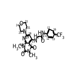 Cn1c(=O)c2c(NCC(=O)Nc3ccc(C(F)(F)F)cc3)cc(N3CCOCC3)nc2n(C)c1=O